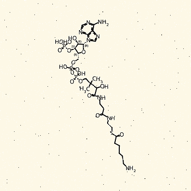 CC(C)(COP(=O)(O)OP(=O)(O)OC[C@H]1O[C@@H](n2cnc3c(N)ncnc32)[C@H](O)[C@@H]1OP(=O)(O)O)C(O)C(=O)NCCC(=O)NCCSC(=O)CCCCCN